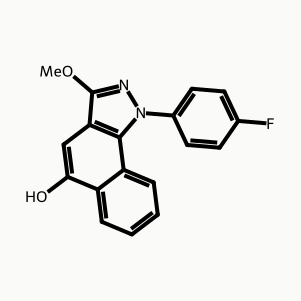 COc1nn(-c2ccc(F)cc2)c2c1cc(O)c1ccccc12